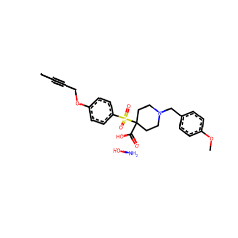 CC#CCOc1ccc(S(=O)(=O)C2(C(=O)O)CCN(Cc3ccc(OC)cc3)CC2)cc1.NO